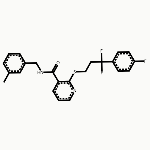 Cc1cccc(CNC(=O)c2cccnc2SCCC(F)(F)c2ccc(F)cc2)c1